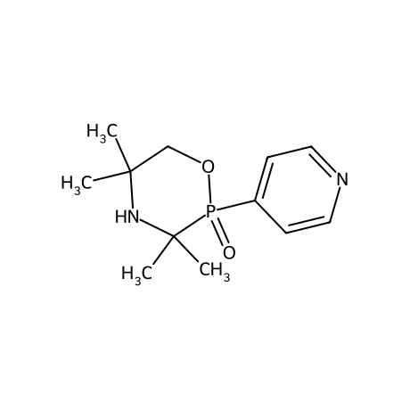 CC1(C)COP(=O)(c2ccncc2)C(C)(C)N1